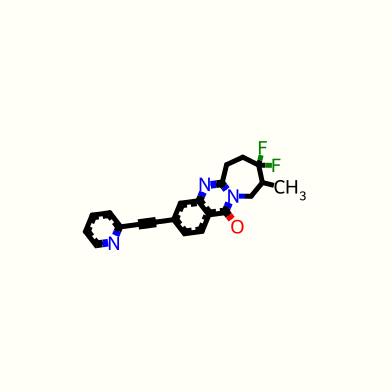 CC1Cn2c(nc3cc(C#Cc4ccccn4)ccc3c2=O)CCC1(F)F